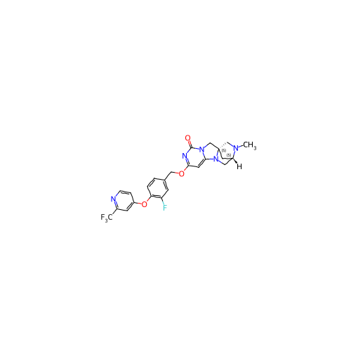 CN1C[C@]23C[C@H]1CN2c1cc(OCc2ccc(Oc4ccnc(C(F)(F)F)c4)c(F)c2)nc(=O)n1C3